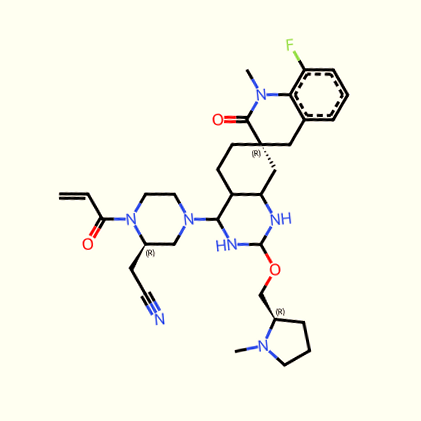 C=CC(=O)N1CCN(C2NC(OC[C@H]3CCCN3C)NC3C[C@@]4(CCC32)Cc2cccc(F)c2N(C)C4=O)C[C@H]1CC#N